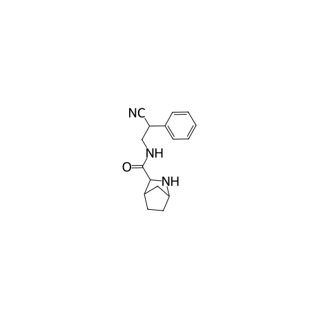 N#CC(CNC(=O)C1NC2CCC1C2)c1ccccc1